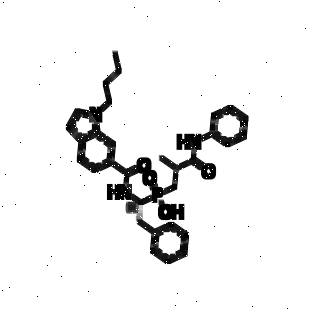 CCCCn1ccc2ccc(C(=O)N[C@@H](Cc3ccccc3)P(=O)(O)CC(C)C(=O)Nc3ccccc3)cc21